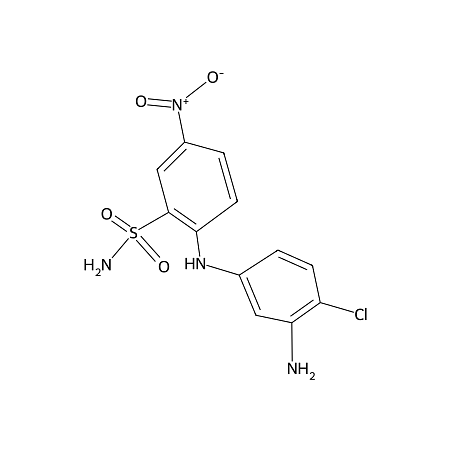 Nc1cc(Nc2ccc([N+](=O)[O-])cc2S(N)(=O)=O)ccc1Cl